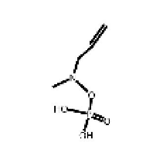 C=CCN(C)OP(=O)(O)O